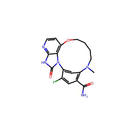 CN1CCCCOc2ccnc3[nH]c(=O)n(c23)-c2cc1c(C(N)=O)cc2F